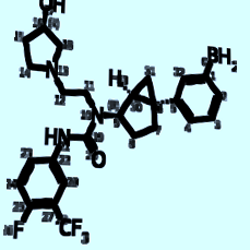 Bc1cccc([C@]23CC[C@@H](N(CCN4CC[C@@H](O)C4)C(=O)Nc4ccc(F)c(C(F)(F)F)c4)[C@H]2C3)c1